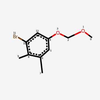 COCOc1cc(C)c(C)c(Br)c1